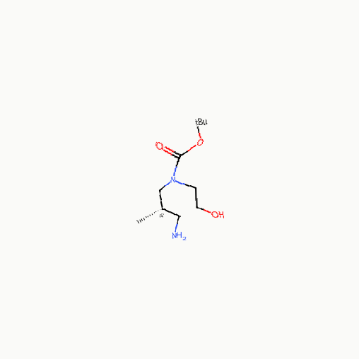 C[C@@H](CN)CN(CCO)C(=O)OC(C)(C)C